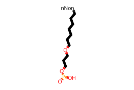 CCCCCCCCCCCCCCCCOCCCO[P](=O)O